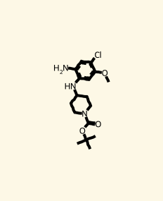 COc1cc(NC2CCN(C(=O)OC(C)(C)C)CC2)c(N)cc1Cl